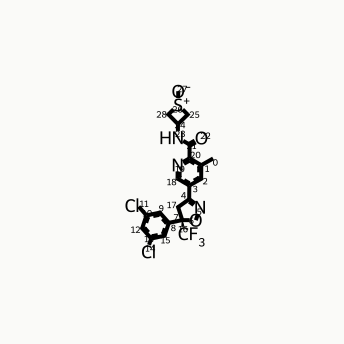 Cc1cc(C2=NO[C@@](c3cc(Cl)cc(Cl)c3)(C(F)(F)F)C2)cnc1C(=O)NC1C[S+]([O-])C1